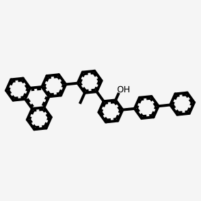 Cc1c(-c2ccc3c4ccccc4c4ccccc4c3c2)cccc1-c1cccc(-c2ccc(-c3ccccc3)cc2)c1O